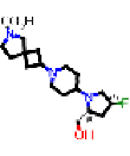 O=C(O)N1CCC2(CC(N3CCC(N4C[C@@H](F)C[C@@H]4CO)CC3)C2)C1